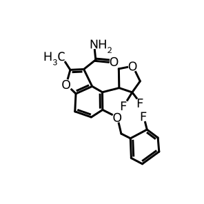 Cc1oc2ccc(OCc3ccccc3F)c(C3COCC3(F)F)c2c1C(N)=O